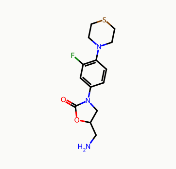 NCC1CN(c2ccc(N3CCSCC3)c(F)c2)C(=O)O1